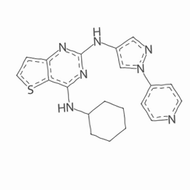 c1cc(-n2cc(Nc3nc(NC4CCCCC4)c4sccc4n3)cn2)ccn1